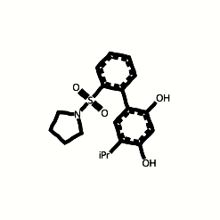 CC(C)c1cc(-c2ccccc2S(=O)(=O)N2CCCC2)c(O)cc1O